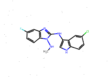 CNn1c(Nc2c[nH]c3ccc(Cl)cc23)nc2cc(F)ccc21